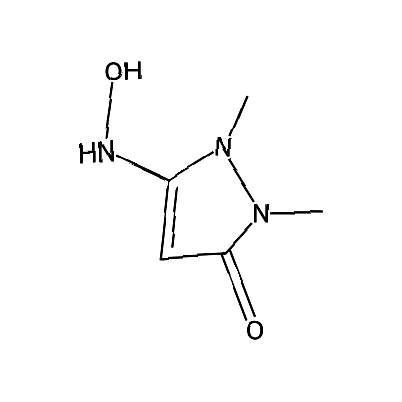 Cn1c(NO)cc(=O)n1C